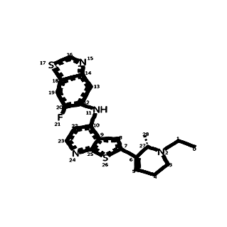 CCN1CCC=C(c2cc3c(Nc4cc5ncsc5cc4F)ccnc3s2)[C@@H]1C